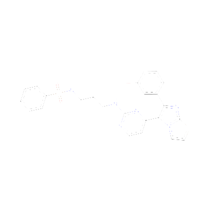 O=S(=O)(NCCCNc1nccc(-c2c(-c3cccc(O)c3)nc3sccn23)n1)c1ccccc1